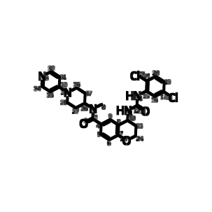 CN(C(=O)c1ccc2c(c1)C(NC(=O)Nc1cc(Cl)ccc1Cl)CCO2)C1CCN(c2ccncc2)CC1